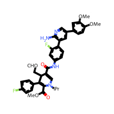 COC(=O)C1=C(c2ccc(F)cc2)C(CC=O)C(C(=O)Nc2ccc(-c3cc(-c4ccc(OC)c(OC)c4)cnc3N)c(F)c2)=CN1C(C)C